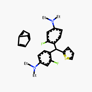 C1=CC2=CC=C1C2.CCN(CC)c1ccc(C(c2cccs2)c2ccc(N(CC)CC)cc2F)c(F)c1